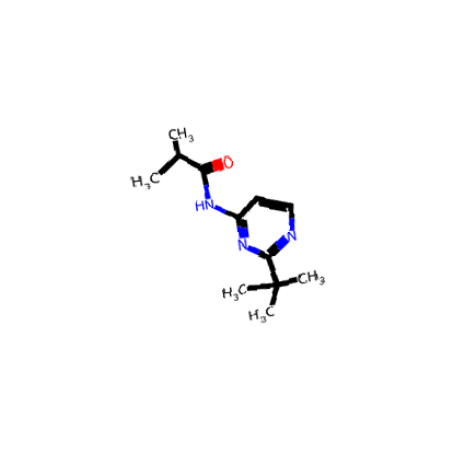 CC(C)C(=O)Nc1ccnc(C(C)(C)C)n1